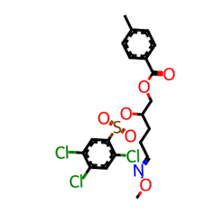 CON=CCCC(COC(=O)c1ccc(C)cc1)OS(=O)(=O)c1cc(Cl)c(Cl)cc1Cl